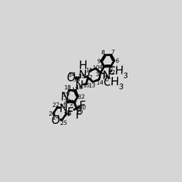 CN(C)[C@]1(c2ccccc2)CC[C@@]2(CC1)CN(c1cnc(N3CCOCC3)c(C(F)(F)F)c1)C(=O)N2